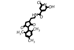 Cc1cc(C)c(C2C(=O)CC(CCNC(=O)c3cc(O)nc(Cl)c3)C2=O)c(C)c1